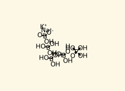 O=P(O)(O)O.OB(O)O.OB(O)O.OB(O)O.[K+].[Na+].[O-]B([O-])O